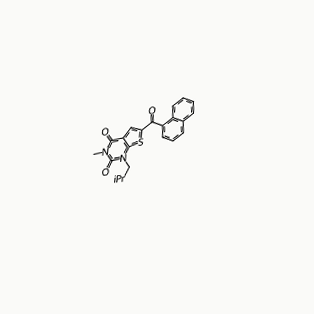 CC(C)Cn1c(=O)n(C)c(=O)c2cc(C(=O)c3cccc4ccccc34)sc21